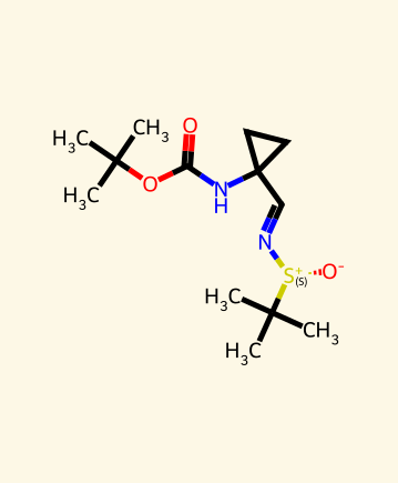 CC(C)(C)OC(=O)NC1(C=N[S@+]([O-])C(C)(C)C)CC1